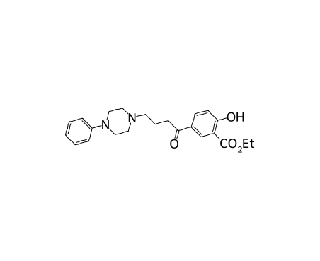 CCOC(=O)c1cc(C(=O)CCCN2CCN(c3ccccc3)CC2)ccc1O